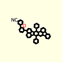 N#Cc1ccc2oc3c(-c4ccc5c6c(-c7ccccc7)c7c(cc8c9ccccc9c9cccc7c98)c(-c7ccccc7)c6c6cccc4c65)cccc3c2c1